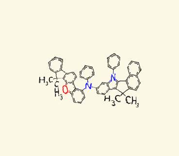 CC1(C)c2ccc3ccccc3c2-c2c1c1ccc(N(c3ccccc3)c3cccc4oc5c6c(ccc5c34)-c3ccccc3C6(C)C)cc1n2-c1ccccc1